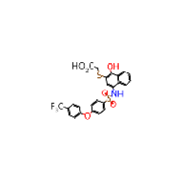 O=C(O)CSc1cc(NS(=O)(=O)c2ccc(Oc3ccc(C(F)(F)F)cc3)cc2)c2ccccc2c1O